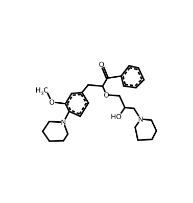 COc1cc(CC(OCC(O)CN2CCCCC2)C(=O)c2ccccc2)ccc1N1CCCCC1